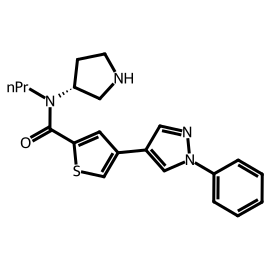 CCCN(C(=O)c1cc(-c2cnn(-c3ccccc3)c2)cs1)[C@@H]1CCNC1